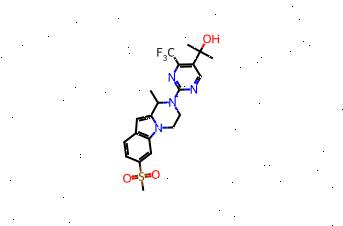 CC1c2cc3ccc(S(C)(=O)=O)cc3n2CCN1c1ncc(C(C)(C)O)c(C(F)(F)F)n1